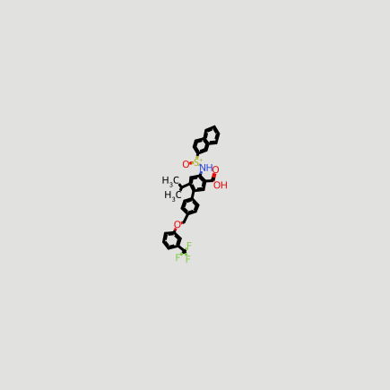 CC(C)c1cc(N[S+]([O-])c2ccc3ccccc3c2)c(C(=O)O)cc1-c1ccc(COc2cccc(C(F)(F)F)c2)cc1